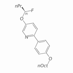 CCCCCCCCOc1ccc(-c2ccc(O[C@H](F)CCC)cn2)cc1